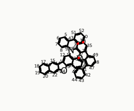 c1ccc(-c2ccccc2N(c2cc3c4cc5ccccc5cc4oc3c3ccccc23)c2cccc3c2oc2c(-c4ccccc4)cccc23)cc1